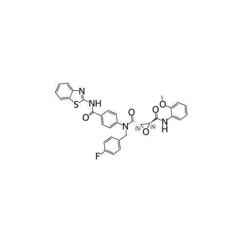 COc1ccccc1NC(=O)[C@H]1O[C@@H]1C(=O)N(Cc1ccc(F)cc1)c1ccc(C(=O)Nc2nc3ccccc3s2)cc1